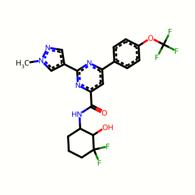 Cn1cc(-c2nc(C(=O)NC3CCCC(F)(F)C3O)cc(-c3ccc(OC(F)(F)F)cc3)n2)cn1